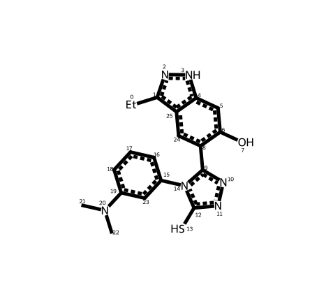 CCc1n[nH]c2cc(O)c(-c3nnc(S)n3-c3cccc(N(C)C)c3)cc12